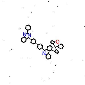 c1ccc(-c2nc(-c3ccc(-c4ccc(-c5nc6ccccc6c6c7c(ccc56)C5(c6ccccc6Oc6ccccc65)c5ccccc5-7)cc4)cc3)c3ccccc3n2)cc1